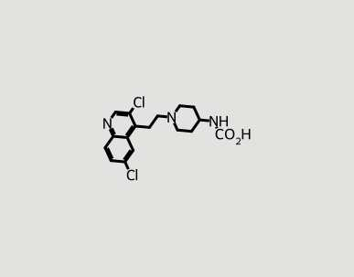 O=C(O)NC1CCN(CCc2c(Cl)cnc3ccc(Cl)cc23)CC1